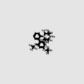 [2H]C1N(c2ccccc2-c2ccc(SC([2H])([2H])[2H])cc2SC([2H])([2H])[2H])C([2H])([2H])C([2H])([2H])N([2H])C1([2H])[2H]